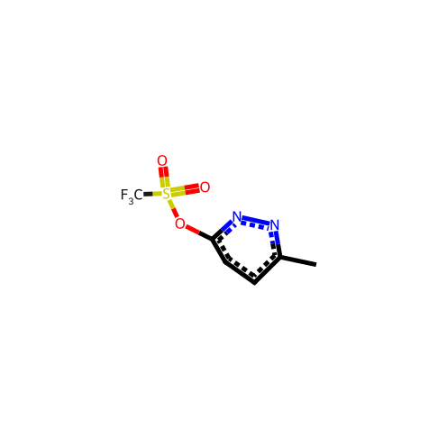 Cc1ccc(OS(=O)(=O)C(F)(F)F)nn1